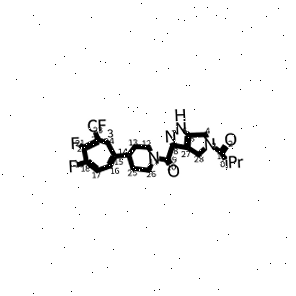 CC(C)C(=O)N1Cc2[nH]nc(C(=O)N3CCC(C4=CC=C(F)C(F)=C(C(F)(F)F)C4)CC3)c2C1